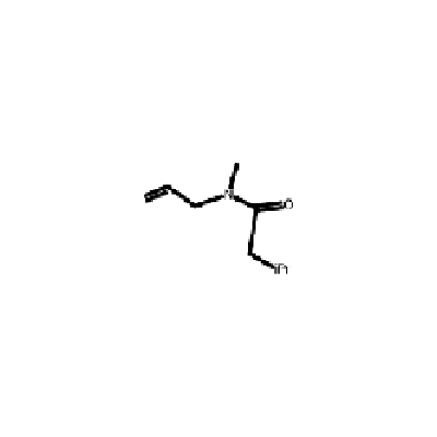 C=CCN(C)C(=O)CC(C)C